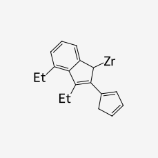 CCC1=C(C2=CC=CC2)[CH]([Zr])c2cccc(CC)c21